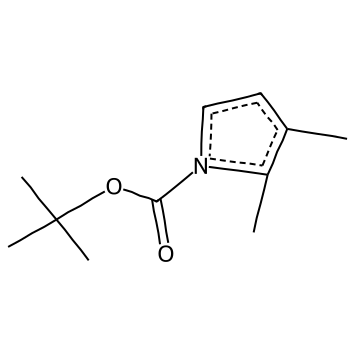 Cc1ccn(C(=O)OC(C)(C)C)c1C